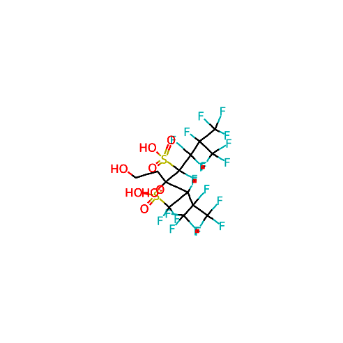 O=S(=O)(O)C(F)(F)C(F)(C(O)(CCO)C(F)(C(F)(F)C(F)(C(F)(F)F)C(F)(F)F)S(=O)(=O)O)C(F)(C(F)(F)F)C(F)(F)F